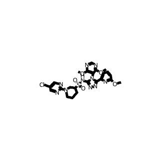 COc1cccc(-c2nnc(NS(=O)(=O)C3CCCN(c4ncc(Cl)cn4)C3)n2-c2c(OC)ncnc2OC)n1